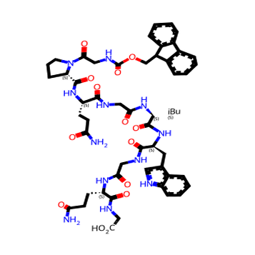 CC[C@H](C)[C@H](NC(=O)CNC(=O)[C@H](CCC(N)=O)NC(=O)[C@@H]1CCCN1C(=O)CNC(=O)OCC1c2ccccc2-c2ccccc21)C(=O)N[C@@H](Cc1c[nH]c2ccccc12)C(=O)NCC(=O)N[C@@H](CCC(N)=O)C(=O)NCC(=O)O